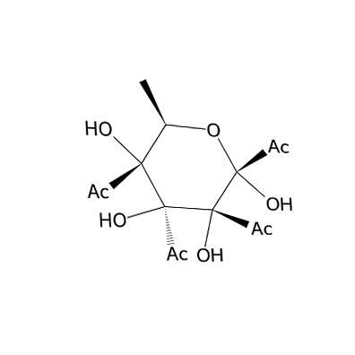 CC(=O)[C@@]1(O)[C@](O)(C(C)=O)[C@@](O)(C(C)=O)[C@@H](C)O[C@@]1(O)C(C)=O